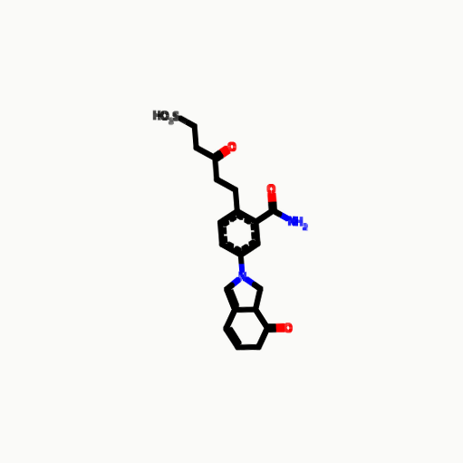 NC(=O)c1cc(N2C=C3C=CCC(=O)C3C2)ccc1CCC(=O)CCS(=O)(=O)O